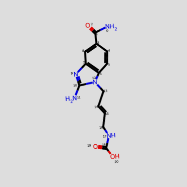 NC(=O)c1ccc2c(c1)nc(N)n2CC=CCNC(=O)O